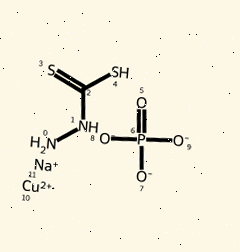 NNC(=S)S.O=P([O-])([O-])[O-].[Cu+2].[Na+]